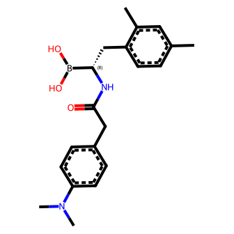 Cc1ccc(C[C@H](NC(=O)Cc2ccc(N(C)C)cc2)B(O)O)c(C)c1